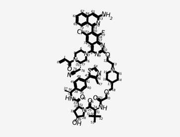 C=CC(=O)N1CCN(c2nc(OCCN3CCC(COCC(=O)N[C@H](C(=O)N4C[C@H](O)C[C@H]4C(=O)N[C@@H](C)c4ccc(-c5scnc5C)cc4)C(C)(C)C)CC3)nc3c(F)c(-c4nc(N)cc5ccccc45)c(Cl)cc23)C[C@@H]1CC#N